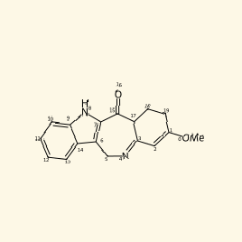 COC1=CC2=NCc3c([nH]c4ccccc34)C(=O)C2CC1